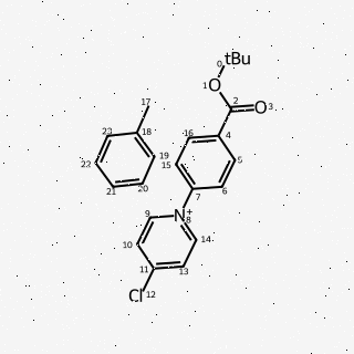 CC(C)(C)OC(=O)c1ccc(-[n+]2ccc(Cl)cc2)cc1.Cc1ccccc1